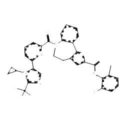 Cc1cccc(F)c1NC(=O)c1cc2c(s1)-c1ccccc1N(C(=O)c1cccc(-c3cnc(C(F)(F)F)n3C3CC3)n1)CC2